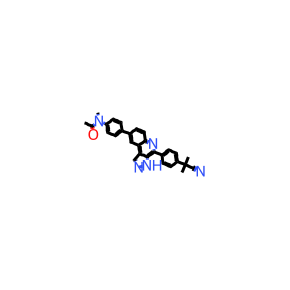 CC(=O)N(C)c1ccc(-c2ccc3nc(-c4ccc(C(C)(C)C#N)cc4)c4[nH]ncc4c3c2)cc1